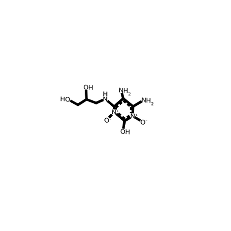 Nc1c(N)[n+]([O-])c(O)[n+]([O-])c1NCC(O)CO